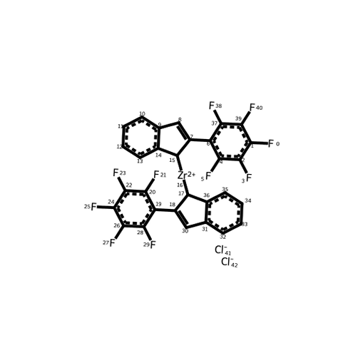 Fc1c(F)c(F)c(C2=Cc3ccccc3[CH]2[Zr+2][CH]2C(c3c(F)c(F)c(F)c(F)c3F)=Cc3ccccc32)c(F)c1F.[Cl-].[Cl-]